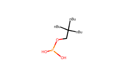 CCCCC(CCCC)(CCCC)COP(O)O